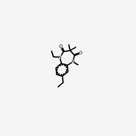 CCc1ccc2c(c1)N(C)C(=O)C(C)(C)C(=O)N2CC